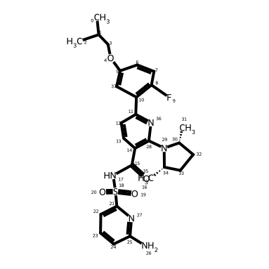 CC(C)COc1ccc(F)c(-c2ccc(C(=O)NS(=O)(=O)c3cccc(N)n3)c(N3[C@H](C)CC[C@@H]3C)n2)c1